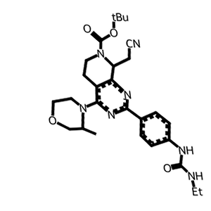 CCNC(=O)Nc1ccc(-c2nc3c(c(N4CCOCC4C)n2)CCN(C(=O)OC(C)(C)C)C3CC#N)cc1